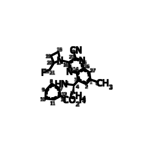 Cc1cc([C@@H](C)Nc2ccccc2C(=O)O)c2nc(N3CCC3CF)c(C#N)nc2c1